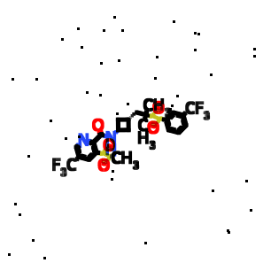 CC(C)(C[C@H]1C[C@H](NC(=O)c2ncc(C(F)(F)F)cc2S(C)(=O)=O)C1)S(=O)(=O)c1cccc(C(F)(F)F)c1